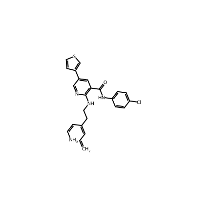 C=C/C=C(\C=C/N)CCNc1ncc(-c2ccsc2)cc1C(=O)Nc1ccc(Cl)cc1